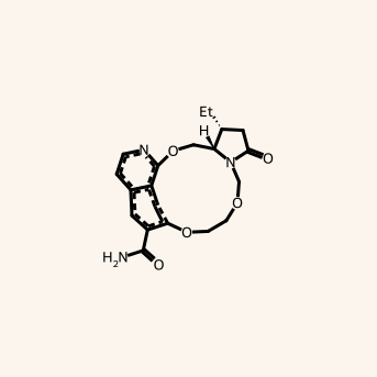 CC[C@@H]1CC(=O)N2COCCOc3cc4c(nccc4cc3C(N)=O)OC[C@H]12